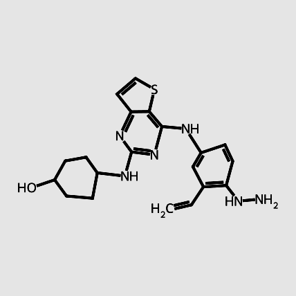 C=Cc1cc(Nc2nc(NC3CCC(O)CC3)nc3ccsc23)ccc1NN